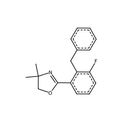 CC1(C)COC(c2cccc(F)c2Cc2ccccc2)=N1